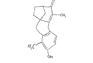 CC1=C2c3ccc(O)c(C)c3CC23CCC(C3)C1=O